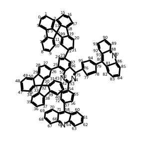 c1ccc2c(c1)-c1ccccc1C21c2ccccc2-c2ccc(-c3cc(-c4ccc5c(c4)C4(c6ccccc6-c6ccccc64)c4ccccc4-5)c4nc(-c5ccc(-c6c7ccccc7nc7ccccc67)cc5)nc(-c5ccc(-c6c7ccccc7nc7ccccc67)cc5)c4c3)cc21